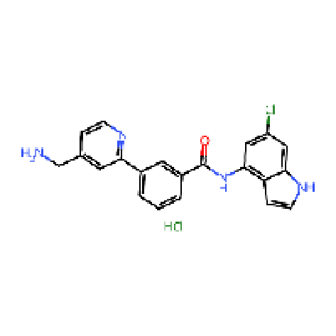 Cl.NCc1ccnc(-c2cccc(C(=O)Nc3cc(Cl)cc4[nH]ccc34)c2)c1